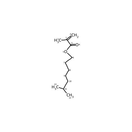 C=C(C)C(=O)OCC[CH]CCC(C)C